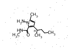 CCC[C@@H](C)c1cc(C)n(N)c1C(=O)NC